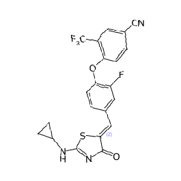 N#Cc1ccc(Oc2ccc(/C=C3\SC(NC4CC4)=NC3=O)cc2F)c(C(F)(F)F)c1